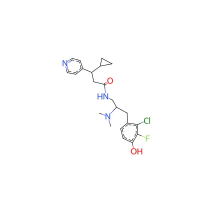 CN(C)C(CNC(=O)CC(c1ccncc1)C1CC1)Cc1ccc(O)c(F)c1Cl